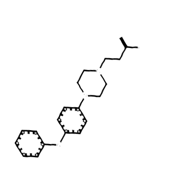 O=C(O)CCN1CCN(c2ccc(Nc3ccccc3)cc2)CC1